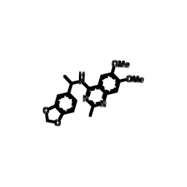 COc1cc2nc(C)nc(NC(C)c3ccc4c(c3)OCO4)c2cc1OC